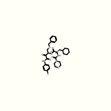 O=C(Nc1ccc(F)cc1)C(=O)C(COCc1ccccc1)NC(=O)[C@@H](CC1CCCCC1)NC(=O)N1CCOCC1